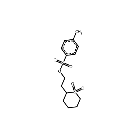 Cc1ccc(S(=O)(=O)OCCC2CCCCS2(=O)=O)cc1